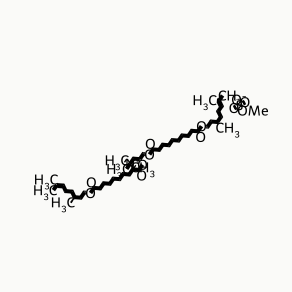 CC(C)=CCC[C@H](C)CCOC(=O)CCCCCCCCC(=O)OCC(C[N+](C)(C)C)OC(=O)CCCCCCCCC(=O)OCC[C@@H](C)CCC=C(C)C.COS(=O)(=O)[O-]